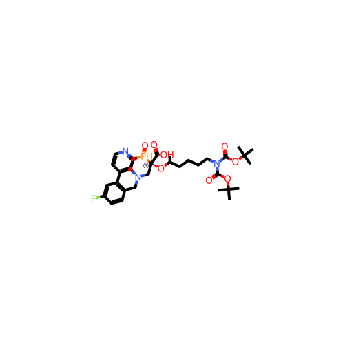 CC(CCCCN(C(=O)OC(C)(C)C)C(=O)OC(C)(C)C)O[C@@]1(C(=O)O)CN(Cc2ccc(F)cc2-c2ccncc2)CC[PH]1=O